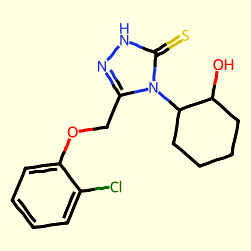 OC1CCCCC1n1c(COc2ccccc2Cl)n[nH]c1=S